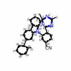 Cc1nc(C)nc(-c2ccc(C#N)cc2-n2c3ccccc3c3ccc(-c4ccccc4C)cc32)n1